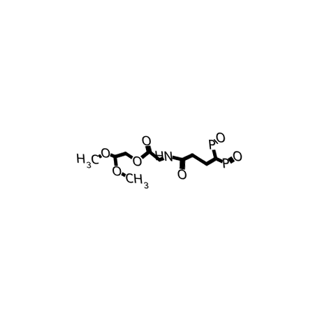 COC(COC(=O)CNC(=O)CCC(P=O)P=O)OC